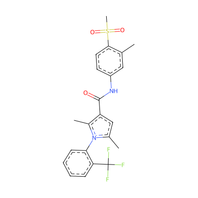 Cc1cc(NC(=O)c2cc(C)n(-c3ccccc3C(F)(F)F)c2C)ccc1S(C)(=O)=O